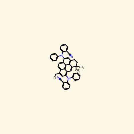 CCc1cc(N(c2ccccc2)c2ccccc2C#N)c2cc3c4c(cc(N(c5ccccc5)c5ccccc5C#N)c5ccc1c2c54)CCC3(C)C